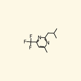 Cc1cc(C(F)(F)F)nc(CC(C)C)n1